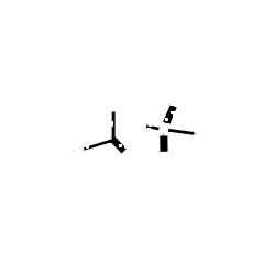 CC(=O)O.O=S(=O)([O-])[O-].[Cs+].[Li+]